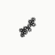 C1=Cc2cccc3c4cc(N(c5ccccc5)c5cccc6c5oc5ccccc56)ccc4n(c23)-c2cccc(N(c3ccccc3)c3cccc4c3oc3ccccc34)c21